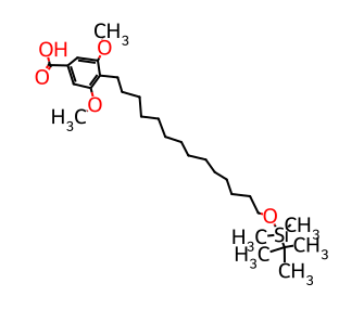 COc1cc(C(=O)O)cc(OC)c1CCCCCCCCCCCCCCO[Si](C)(C)C(C)(C)C